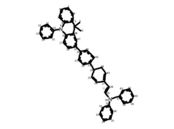 CC1(C)c2ccccc2N(c2ccccc2)c2ccc(-c3ccc(C4C=CC(/C=C/N(c5ccccc5)c5ccccc5)=CC4)cc3)cc21